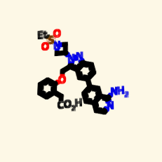 CCS(=O)(=O)N1CC(n2nc3ccc(-c4ccc5ccnc(N)c5c4)cc3c2COc2ccccc2CC(=O)O)C1